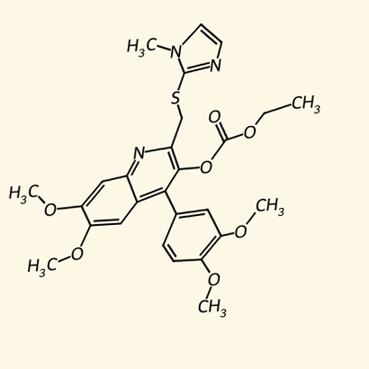 CCOC(=O)Oc1c(CSc2nccn2C)nc2cc(OC)c(OC)cc2c1-c1ccc(OC)c(OC)c1